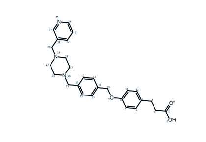 O=C(O)CCc1ccc(OCc2ccc(CN3CCN(Cc4cccnc4)CC3)cc2)cc1